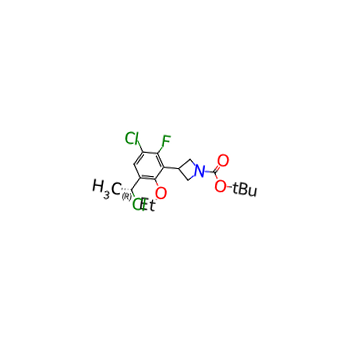 CCOc1c([C@@H](C)Cl)cc(Cl)c(F)c1C1CN(C(=O)OC(C)(C)C)C1